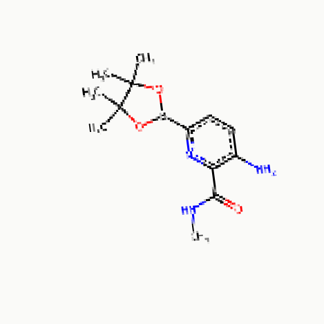 CNC(=O)c1nc(B2OC(C)(C)C(C)(C)O2)ccc1N